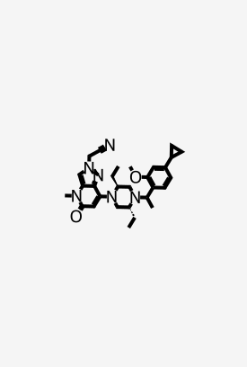 CC[C@H]1CN(C(C)c2ccc(C3CC3)cc2OC)[C@H](CC)CN1c1cc(=O)n(C)c2cn(CC#N)nc12